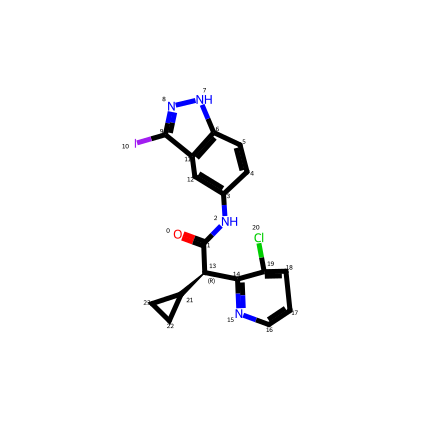 O=C(Nc1ccc2[nH]nc(I)c2c1)[C@@H](c1ncccc1Cl)C1CC1